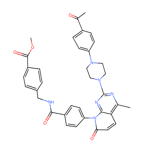 COC(=O)c1ccc(CNC(=O)c2ccc(-n3c(=O)ccc4c(C)nc(N5CCN(c6ccc(C(C)=O)cc6)CC5)nc43)cc2)cc1